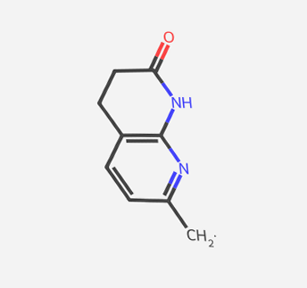 [CH2]c1ccc2c(n1)NC(=O)CC2